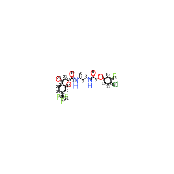 C=C(CCNC(=O)COc1ccc(Cl)c(F)c1)NC(=O)c1cc(=O)c2ccc(C(F)(F)F)cc2o1